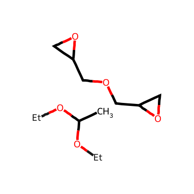 C(OCC1CO1)C1CO1.CCOC(C)OCC